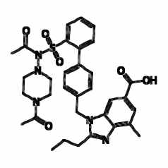 CCCc1nc2c(C)cc(C(=O)O)cc2n1Cc1ccc(-c2ccccc2S(=O)(=O)N(C(C)=O)N2CCN(C(C)=O)CC2)cc1